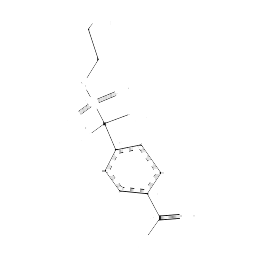 CCCNS(=O)(=O)C(C)(C)c1ccc(C(C)=O)cc1